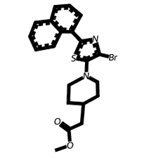 COC(=O)CC1CCN(c2sc(-c3cccc4ccccc34)nc2Br)CC1